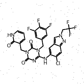 O=c1[nH]cccc1Cn1c(=O)nc(Nc2cc3cn(CC(F)(F)F)nc3cc2Cl)n(Cc2cc(F)c(F)c(F)c2)c1=O